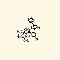 CC(C)N[C@H](C(=O)N1C[C@H](O)C[C@H]1c1nc(-c2cncs2)c[nH]1)C(C)(C)C